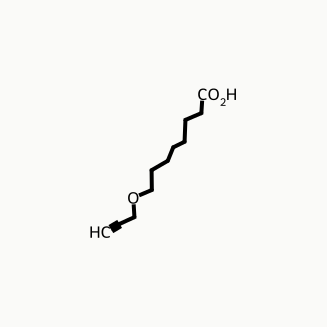 C#CCOCCCCCCCC(=O)O